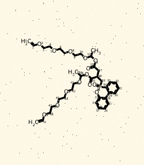 C=COCCOCCOCCOC(C)OC(=O)CC(CP1(=O)Oc2ccccc2-c2ccccc21)C(=O)OC(C)OCCOCCOCCOC=C